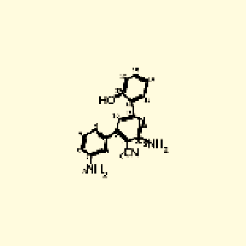 N#Cc1c(-c2cccc(N)c2)cc(-c2ccccc2O)nc1N